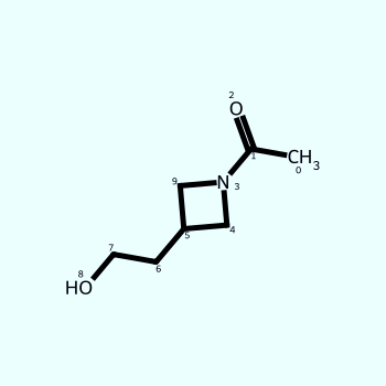 CC(=O)N1CC(CCO)C1